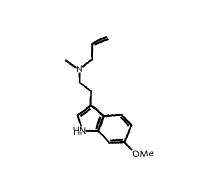 C=CCN(C)CCc1c[nH]c2cc(OC)ccc12